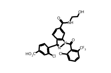 O=C(O)c1ccc(-c2nn(C(=O)c3c(Cl)cccc3C(F)(F)F)c3cc(C(=O)NCCO)ccc23)c(Cl)c1